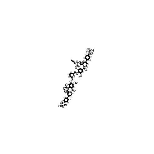 C=CCOC(=O)N1c2cc(OCc3cccc(COc4cc5c(cc4OC)C(=O)N4CC=C(c6ccc(S(=O)(=O)NC)cc6)C[C@H]4C(OC)N5C(=O)O)n3)c(OC)cc2C(=O)N2CC=C(c3ccc(S(=O)(=O)NC)cc3)C[C@H]2C1OC